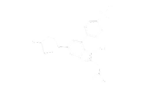 CS(=O)(=O)c1ccc(-c2cc(N3CCC(N)CC3)nc3sc(OC(N)=O)c(N)c23)cc1